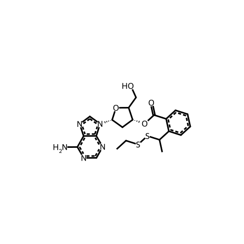 CCSSC(C)c1ccccc1C(=O)O[C@@H]1C[C@H](n2cnc3c(N)ncnc32)OC1CO